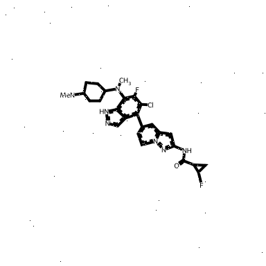 CNC1CCC(N(C)c2c(F)c(Cl)c(-c3ccn4nc(NC(=O)C5CC5F)cc4c3)c3cn[nH]c23)CC1